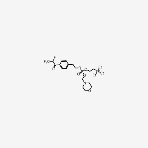 CC[N+](CC)(CC)CCOP(=O)(OCCc1ccc(C(=O)C(F)C(F)(F)F)cc1)OCN1CCOCC1